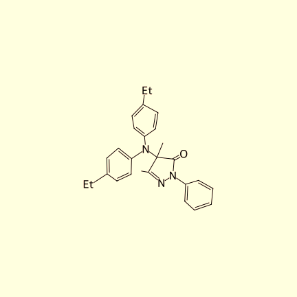 CCc1ccc(N(c2ccc(CC)cc2)C2(C)C(=O)N(c3ccccc3)N=C2C)cc1